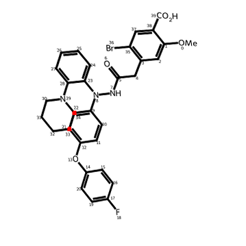 COc1cc(CC(=O)NN(c2ccc(Oc3ccc(F)cc3)cc2)c2ccccc2N2CCCCC2)c(Br)cc1C(=O)O